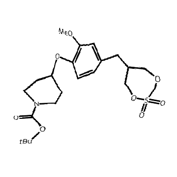 COc1cc(CC2COS(=O)(=O)OC2)ccc1OC1CCN(C(=O)OC(C)(C)C)CC1